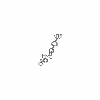 CS[C@@]1(C=O)CCC(NC(=O)N2CC=C(c3ccc(-c4ncn(C)n4)cc3)CC2)C1